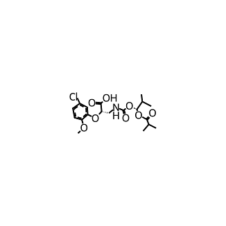 COc1ccc(Cl)cc1O[C@@H](CNC(=O)O[C@@H](OC(=O)C(C)C)C(C)C)C(=O)O